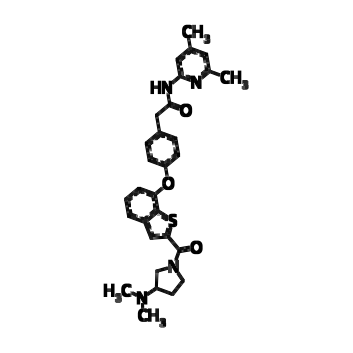 Cc1cc(C)nc(NC(=O)Cc2ccc(Oc3cccc4cc(C(=O)N5CCC(N(C)C)C5)sc34)cc2)c1